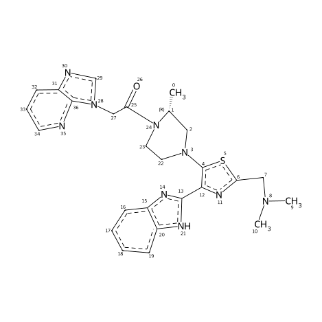 C[C@@H]1CN(c2sc(CN(C)C)nc2-c2nc3ccccc3[nH]2)CCN1C(=O)Cn1cnc2cccnc21